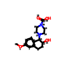 COc1ccc2c(c1)CCC(O)C2N1CCN(C(=O)O)CC1